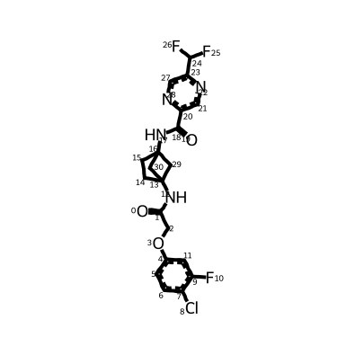 O=C(COc1ccc(Cl)c(F)c1)NC12CCC(NC(=O)c3cnc(C(F)F)cn3)(C1)C2